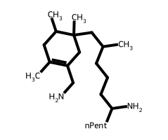 CCCCCC(N)CCCC(C)CC1(C)CC(CN)=C(C)CC1C